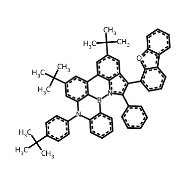 CC(C)(C)c1ccc(N2c3ccccc3B3c4c(cc(C(C)(C)C)cc42)-c2cc(C(C)(C)C)cc4c(-c5cccc6c5oc5ccccc56)c(-c5ccccc5)n3c24)cc1